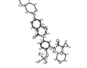 COC1CCCN(c2ccc3c(=O)n(-c4ccc(OC(F)(F)F)c(NC(=O)C5(N6CCOCC6)CC5)c4)cnc3c2)C1